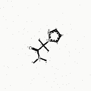 CN(C)C(=O)C(C)(C)n1c[c]cn1